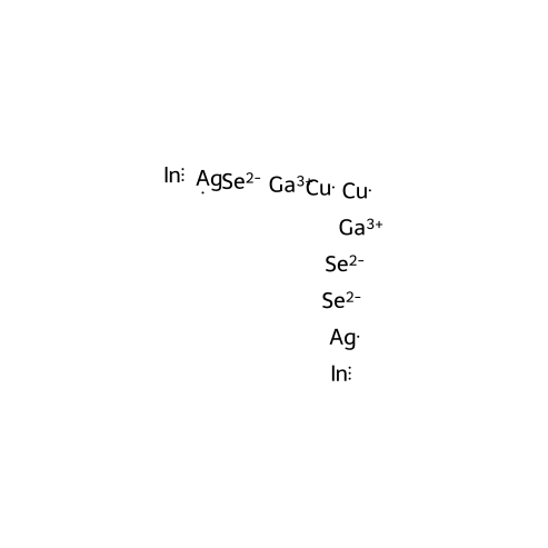 [Ag].[Ag].[Cu].[Cu].[Ga+3].[Ga+3].[In].[In].[Se-2].[Se-2].[Se-2]